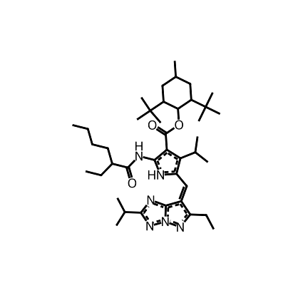 CCCCC(CC)C(=O)Nc1[nH]c(/C=c2/c(CC)nn3nc(C(C)C)nc23)c(C(C)C)c1C(=O)OC1C(C(C)(C)C)CC(C)CC1C(C)(C)C